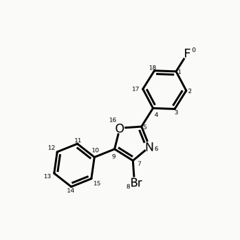 Fc1ccc(-c2nc(Br)c(-c3ccccc3)o2)cc1